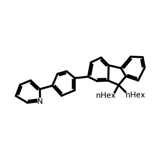 CCCCCCC1(CCCCCC)c2ccccc2-c2ccc(-c3ccc(-c4ccccn4)cc3)cc21